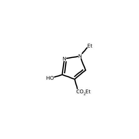 CCOC(=O)c1cn(CC)nc1O